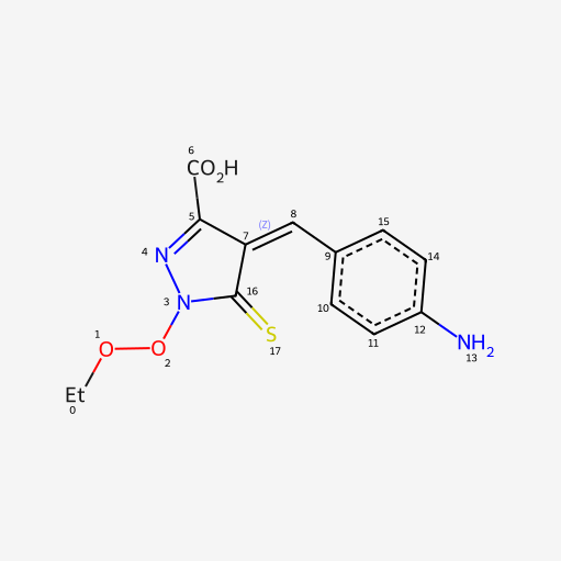 CCOON1N=C(C(=O)O)/C(=C/c2ccc(N)cc2)C1=S